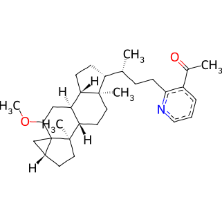 COC1C[C@H]2[C@@H]3CC[C@H]([C@H](C)CCc4ncccc4C(C)=O)[C@@]3(C)CC[C@@H]2[C@@]2(C)CC[C@@H]3CC132